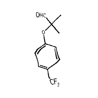 CC(C)(C=O)Oc1ccc(C(F)(F)F)cc1